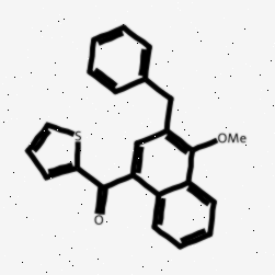 COc1c(Cc2ccccc2)cc(C(=O)c2cccs2)c2ccccc12